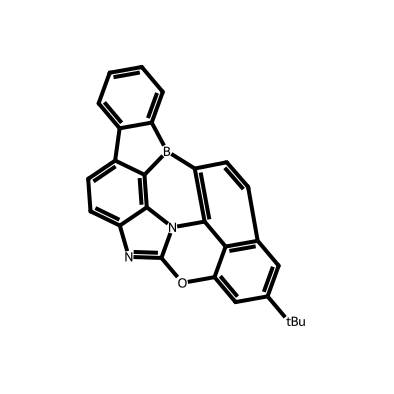 CC(C)(C)c1cc2ccc3c4c2c(c1)oc1nc2ccc5c(c2n14)B3c1ccccc1-5